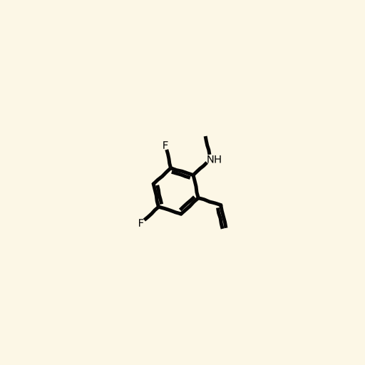 C=Cc1cc(F)cc(F)c1NC